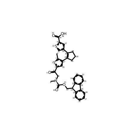 Cc1sc(C(=O)CN(C)C(=O)OCC2c3ccccc3-c3ccccc32)cc1C1=C(c2csc(C(=O)O)c2)CCC1